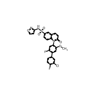 COc1cc(-c2ccc(F)c(Cl)c2)c(F)cc1-n1c(=O)ccc2cc(S(=O)(=O)Nc3ccon3)ccc21